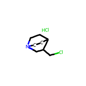 Cl.ClCC1CN2CCC1CC2